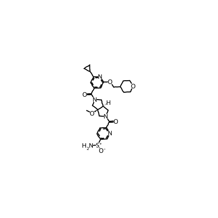 CO[C@@]12CN(C(=O)c3cc(OCC4CCOCC4)nc(C4CC4)c3)C[C@H]1CN(C(=O)c1ccc([S+](N)[O-])cn1)C2